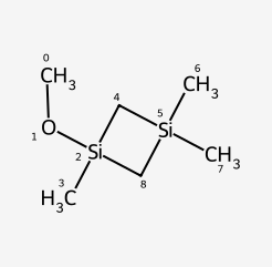 CO[Si]1(C)C[Si](C)(C)C1